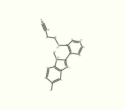 Cc1ccc2c(c1)nc(-c1ccncc1SCCC#N)n2C